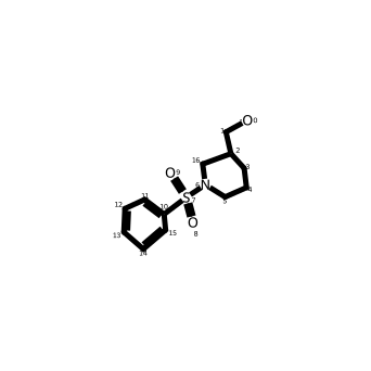 [O]CC1CCCN(S(=O)(=O)c2ccccc2)C1